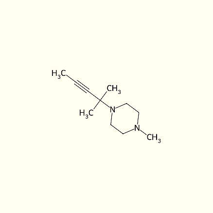 CC#CC(C)(C)N1CCN(C)CC1